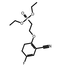 CCOP(=O)(CCOC1=C(C#N)C=C(F)[CH]C1)OCC